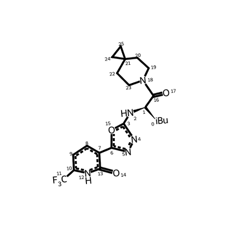 CC[C@H](C)[C@@H](Nc1nnc(-c2ccc(C(F)(F)F)[nH]c2=O)o1)C(=O)N1CCC2(CC1)CC2